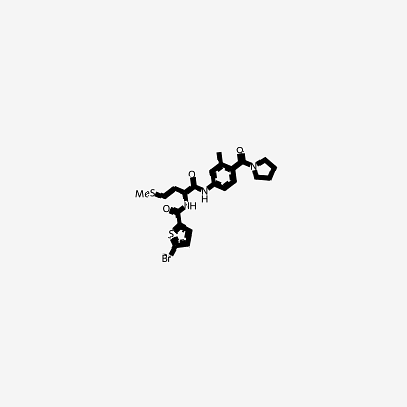 CSCCC(NC(=O)c1ccc(Br)s1)C(=O)Nc1ccc(C(=O)N2CCCC2)c(C)c1